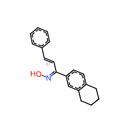 ON=C(/C=C/c1ccccc1)c1ccc2c(c1)CCCC2